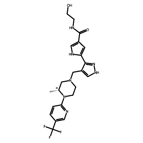 C[C@@H]1CN(Cc2c[nH]nc2-c2cc(C(=O)NCCO)c[nH]2)CCN1c1ccc(C(F)(F)F)cn1